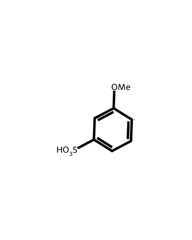 COc1[c]ccc(S(=O)(=O)O)c1